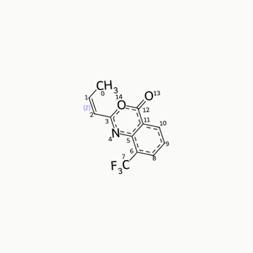 C/C=C\c1nc2c(C(F)(F)F)cccc2c(=O)o1